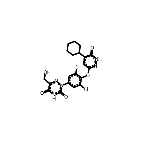 O=c1[nH]nc(Oc2c(Cl)cc(-n3nc(CO)c(=O)[nH]c3=O)cc2Cl)cc1C1CCCCC1